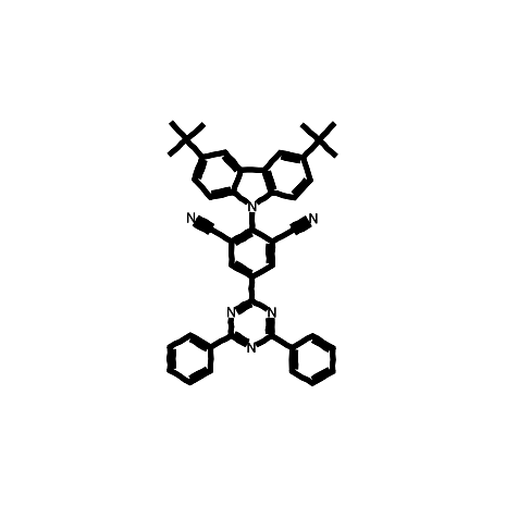 CC(C)(C)c1ccc2c(c1)c1cc(C(C)(C)C)ccc1n2-c1c(C#N)cc(-c2nc(-c3ccccc3)nc(-c3ccccc3)n2)cc1C#N